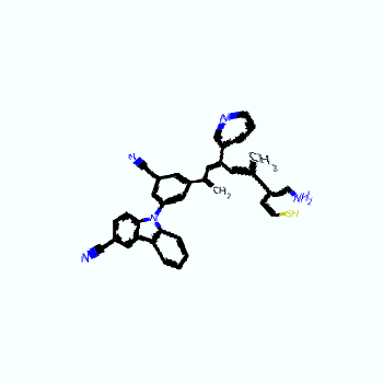 C=C(/C=C(\C=C(/C)C(=CN)/C=C\S)c1cccnc1)C1=CC(C#N)CC(N2c3ccc(C#N)cc3C3C=CC=CC32)=C1